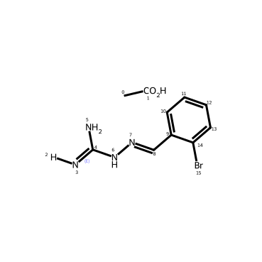 CC(=O)O.[H]/N=C(\N)NN=Cc1ccccc1Br